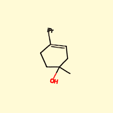 CC(C)C1=CCC(C)(O)CC1